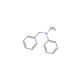 CN(Cc1ccccc1)c1[c]cccc1